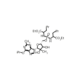 CCOC(=O)C(CC(C)C)NP(=O)(NC(CC(C)C)C(=O)OCC)OC[C@H]1O[C@@H](n2cnc3c(OC(C)C)nc(C)nc32)[C@@](C)(O)C1O